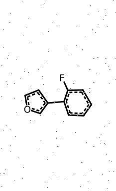 Fc1ccccc1-c1[c]occ1